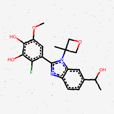 COc1cc(-c2nc3ccc(C(C)O)cc3n2C2(C)COC2)c(F)c(O)c1O